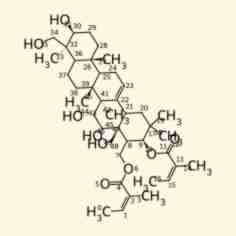 C/C=C(/C)C(=O)OCC1[C@H](OC(=O)/C(C)=C\C)C(C)(C)CC2C3=CCC4[C@@]5(C)CC[C@H](O)[C@](C)(CO)C5CC[C@@]4(C)[C@]3(C)[C@@H](O)[C@@H](O)[C@]21CO